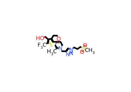 C[C@H]1C[C@@]2(CCN1Cc1cn(CCCS(C)(=O)=O)nn1)OCCc1c2sc(C(F)(F)F)c1CO